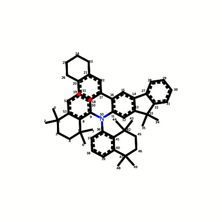 CC1(C)CCC(C)(C)c2c(N(c3cc4c(cc3-c3ccc5c(c3)CCCC5)-c3ccccc3C4(C)C)c3cccc4c3C(C)(C)CCC4(C)C)cccc21